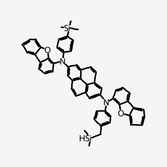 C[SiH](C)Cc1ccc(N(c2cc3ccc4cc(N(c5ccc([Si](C)(C)C)cc5)c5cccc6c5oc5ccccc56)cc5ccc(c2)c3c45)c2cccc3c2oc2ccccc23)cc1